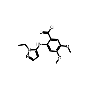 CCn1nccc1Nc1cc(OC)c(OC)cc1C(=O)O